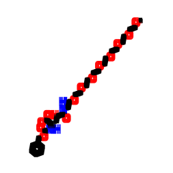 COCCOCCOCCOCCOCCOCCOCCOCCNC(=O)CC[C@H](NC(=O)OCc1ccccc1)C(=O)O